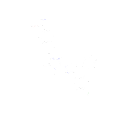 Cn1c(N2C[C@H](c3ccccc3)C(c3ccc(Cl)cc3)=N2)nn(CCc2ccc(C(N)=O)cc2)c1=O